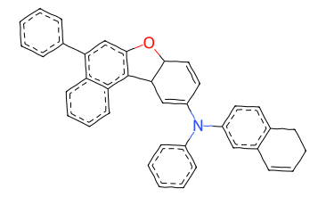 C1=Cc2cc(N(C3=CC4c5c(cc(-c6ccccc6)c6ccccc56)OC4C=C3)c3ccccc3)ccc2CC1